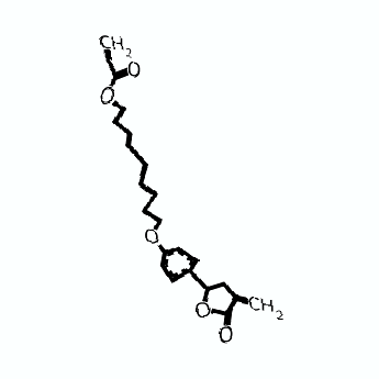 C=CC(=O)OCCCCCCCCCOc1ccc(C2CC(=C)C(=O)O2)cc1